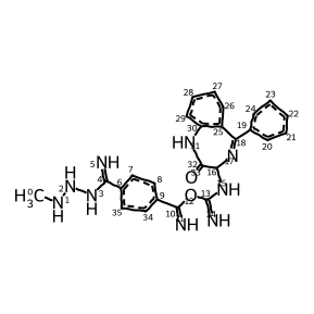 CNNNC(=N)c1ccc(C(=N)OC(=N)NC2N=C(c3ccccc3)c3ccccc3NC2=O)cc1